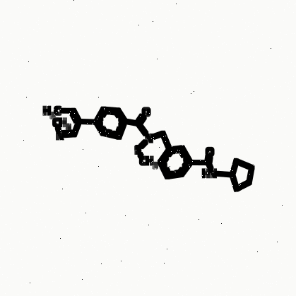 C/C=C(\C=N/C)c1ccc(C(=O)N(Cc2cccc(C(=O)NC3CCCC3)c2)SC)cc1